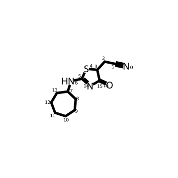 N#CCC1SC(NC2CCCCCC2)=NC1=O